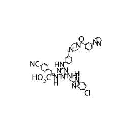 N#Cc1ccc(C[C@H](Nc2nc(NCc3nc4cc(Cl)ccc4[nH]3)nc(Nc3cccc(CN4CCN(C(=O)c5cccc(-n6cccn6)c5)CC4)c3)n2)C(=O)O)cc1